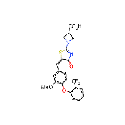 COc1cc(C=C2SC(N3CC(C(=O)O)C3)=NC2=O)ccc1Oc1ccccc1C(F)(F)F